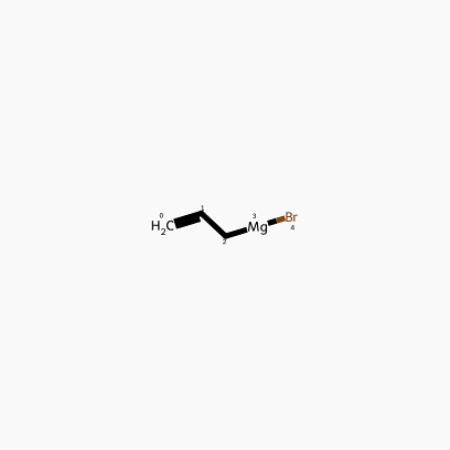 C=C[CH][Mg][Br]